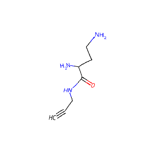 C#CCNC(=O)C(N)CCN